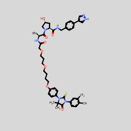 CC(C)(C)[C@H](NC(=O)COCCCOCCCCOc1ccc(N2C(=S)N(c3ccc(C#N)c(C(F)(F)F)c3)C(=O)C2(C)C)cc1)C(=O)N1C[C@H](O)C[C@H]1C(=O)NCc1ccc(-c2cn[nH]c2)cc1